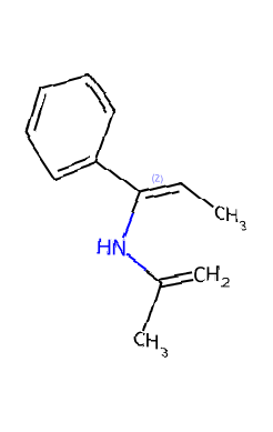 C=C(C)N/C(=C\C)c1ccccc1